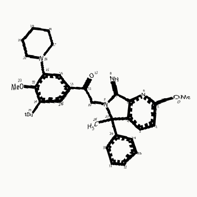 COc1ccc2c(n1)C(=N)N(CC(=O)c1cc(N3CCCCC3)c(OC)c(C(C)(C)C)c1)C2(C)c1ccccc1